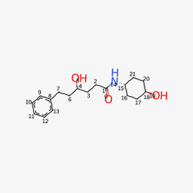 O=C(CCC(O)CCc1ccccc1)N[C@H]1CC[C@H](O)CC1